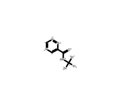 [2H]C([2H])([2H])NC(=O)c1cncnn1